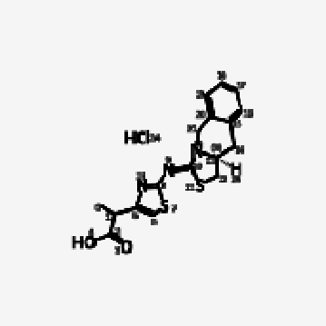 CC(C(=O)O)c1csc(N=C2SC[C@@H]3Cc4ccccc4CN23)n1.Cl